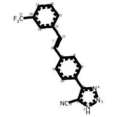 N#Cc1[nH]nnc1-c1ccc(/C=C/c2cccc(C(F)(F)F)c2)cc1